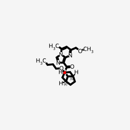 CCCCOC1C[C@H]2CC[C@@H](C1)C2NC(=O)c1ncn2c(C)cc(COC)nc12